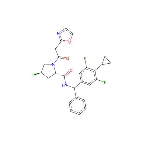 O=C(NC(c1ccccc1)c1cc(F)c(C2CC2)c(F)c1)[C@@H]1C[C@@H](F)CN1C(=O)Cc1ncco1